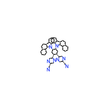 N#Cc1cnc(-c2cc(-n3c4ccccc4c4ccc5ccccc5c43)c(-n3c4ccccc4c4ccc5ccccc5c43)cc2-c2cnc(C#N)cn2)cn1